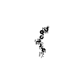 O=C1CCC(Nc2ccccc2CN2CCC(n3cc(NC(=O)c4coc(-c5ccnc(NCC(F)(F)F)c5)n4)c(C(F)F)n3)CC2)C(=O)N1